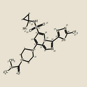 CN(C)C(=O)N1CCN(c2cc(S(=O)(=O)NC3(C#N)CC3)cn3c(-c4nnc(C(F)(F)F)s4)ncc23)CC1